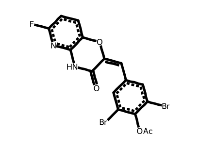 CC(=O)Oc1c(Br)cc(/C=C2/Oc3ccc(F)nc3NC2=O)cc1Br